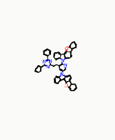 c1ccc(-c2nc(CCc3cc(-n4c5ccccc5c5c6oc7ccccc7c6ccc54)cnc3-n3c4ccccc4c4c5oc6ccccc6c5ccc43)nc(-c3ccccc3)n2)cc1